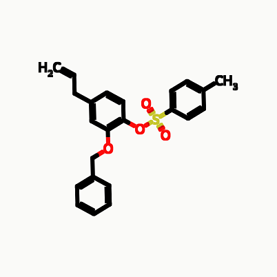 C=CCc1ccc(OS(=O)(=O)c2ccc(C)cc2)c(OCc2ccccc2)c1